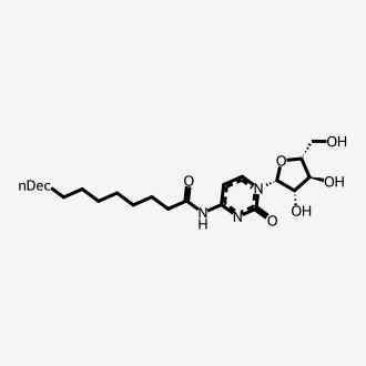 CCCCCCCCCCCCCCCCCC(=O)Nc1ccn([C@@H]2O[C@H](CO)[C@@H](O)[C@@H]2O)c(=O)n1